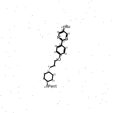 CCCCC[C@H]1CC[C@H](CCCOc2ccc(-c3ncc(CCCC)cn3)cc2)CC1